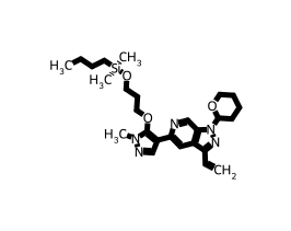 C=Cc1nn(C2CCCCO2)c2cnc(-c3cnn(C)c3OCCCO[Si](C)(C)CCCC)cc12